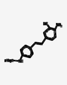 CCCCCCCNc1ccc(C=Cc2ccc([N+](=O)[O-])c(C#N)c2)cc1